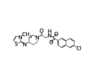 Cn1ccsc1=NC1CCN(C(=O)CNS(=O)(=O)c2ccc3cc(Cl)ccc3c2)CC1